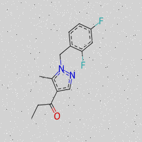 CCC(=O)c1cnn(Cc2ccc(F)cc2F)c1C